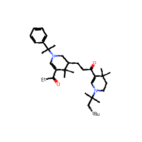 CCC(=O)C1=CN(C(C)(C)c2ccccc2)CC(CCC(=O)C2=CN(C(C)(C)CC(C)(C)C)CCC2(C)C)C1(C)C